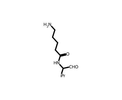 CC(C)C(C=O)NC(=O)CCCCN